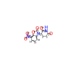 O=C1CCC(n2c(=O)oc3c([N+](=O)[O-])cccc32)C(=O)N1